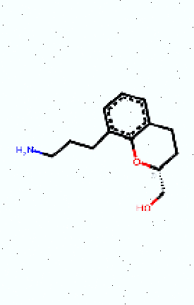 NCCCc1cccc2c1O[C@@H](CO)CC2